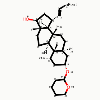 CCCCCC=C[C@H]1C[C@H](O)[C@@]2(C)CC[C@H]3[C@@H](CC[C@H]4C[C@H](OC5CCCCO5)C[C@H](C)[C@@]43C)[C@H]12